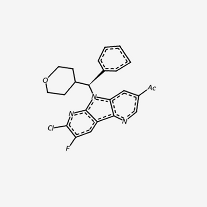 CC(=O)c1cnc2c3cc(F)c(Cl)nc3n([C@H](c3ccccc3)C3CCOCC3)c2c1